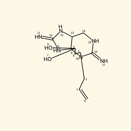 C=CCC1CC(O)(O)C23NC(=N)NC2CNC(=N)N13